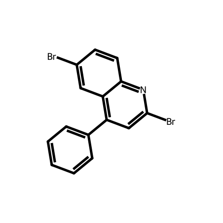 Brc1ccc2nc(Br)cc(-c3ccccc3)c2c1